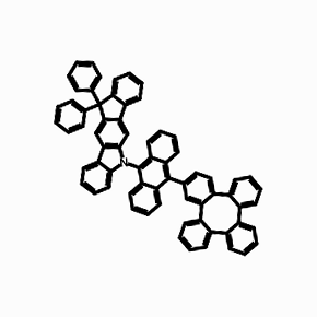 c1ccc(C2(c3ccccc3)c3ccccc3-c3cc4c(cc32)c2ccccc2n4-c2c3ccccc3c(-c3ccc4c(c3)-c3ccccc3-c3ccccc3-c3ccccc3-4)c3ccccc23)cc1